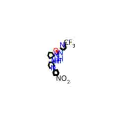 O=C(Nc1ccc(C(F)(F)F)nc1)N[C@@H]1CCCC[C@H]1NC1CCCN(c2ccc([N+](=O)[O-])cc2)C1